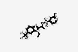 CCn1c(C(C)NS(=O)(=O)c2ccnc(C)c2)nc2ccc(C(F)(F)F)cc21